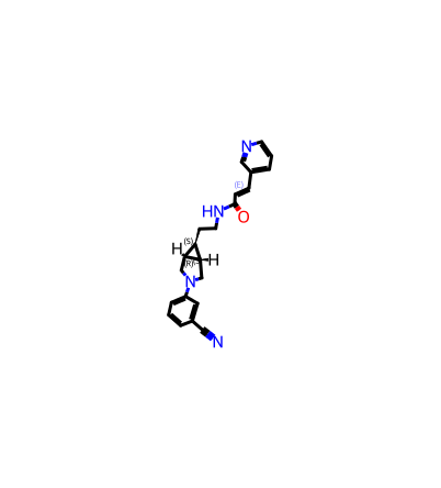 N#Cc1cccc(N2C[C@@H]3[C@@H](CCNC(=O)/C=C/c4cccnc4)[C@@H]3C2)c1